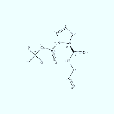 C=CCOC(=O)[C@@H]1CC=CN1C(=O)OC(C)(C)C